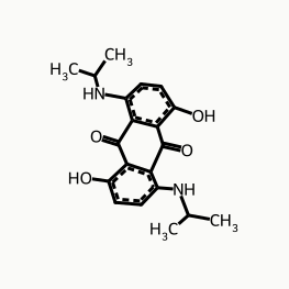 CC(C)Nc1ccc(O)c2c1C(=O)c1c(O)ccc(NC(C)C)c1C2=O